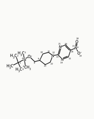 CC(C)(C)[Si](C)(C)OCC1CCN(c2ncc([N+](=O)[O-])cn2)CC1